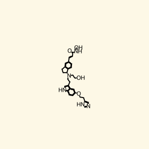 O=C(C=Cc1ccc2c(c1)CCC2N(CCO)CCc1c[nH]c2ccc(OCCc3cnc[nH]3)cc12)NO